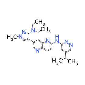 CCN(CC)c1nn(C)cc1-c1cnc2ccc(Nc3cc(C(C)C)cnn3)nc2c1